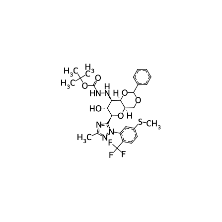 CSc1ccc(C(F)(F)F)c(-n2nc(C)nc2[C@@H]2O[C@@H]3COC(c4ccccc4)O[C@@H]3[C@H](NNC(=O)OC(C)(C)C)[C@H]2O)c1